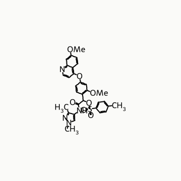 COc1ccc2c(Oc3ccc(C(OS(=O)(=O)c4ccc(C)cc4)C(=O)Nc4cn(C)nc4C)c(OC)c3)ccnc2c1